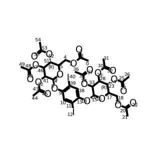 CC(=O)OCC1O[C@@H](Oc2cc(I)c(O[C@@H]3OC(COC(C)=O)[C@@H](OC(C)=O)C(OC(C)=O)C3OC(C)=O)cc2I)C(OC(C)=O)C(OC(C)=O)[C@@H]1OC(C)=O